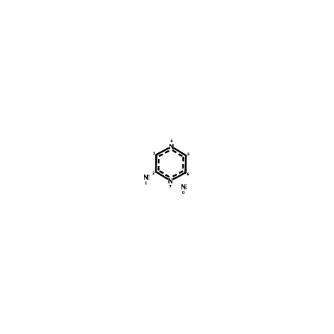 [N].[N].c1cnccn1